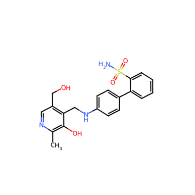 Cc1ncc(CO)c(CNc2ccc(-c3ccccc3S(N)(=O)=O)cc2)c1O